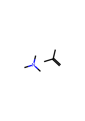 C=C(C)C.CN(C)C